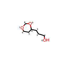 OCCCC1CCOCO1